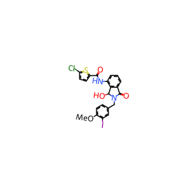 COc1ccc(CN2C(=O)c3cccc(NC(=O)c4ccc(Cl)s4)c3C2O)cc1I